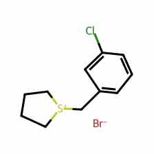 Clc1cccc(C[S+]2CCCC2)c1.[Br-]